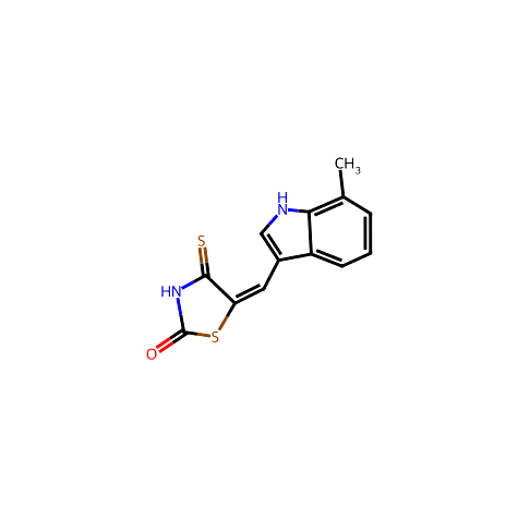 Cc1cccc2c(C=C3SC(=O)NC3=S)c[nH]c12